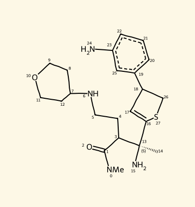 CNC(=O)C(CCNC1CCOCC1)[C@](C)(N)C1=CC(c2cccc(N)c2)CS1